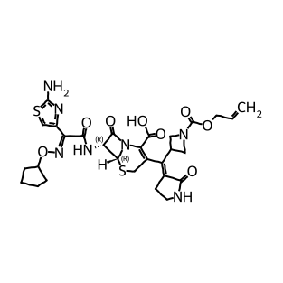 C=CCOC(=O)N1CC(C(=C2CCNC2=O)C2=C(C(=O)O)N3C(=O)[C@@H](NC(=O)C(=NOC4CCCC4)c4csc(N)n4)[C@H]3SC2)C1